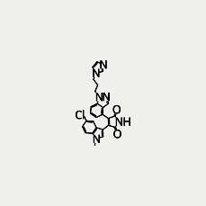 Cn1cc(C2=C(c3cccc4c3cnn4CCCn3ccnc3)C(=O)NC2=O)c2cc(Cl)ccc21